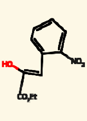 CCOC(=O)C(O)=Cc1ccccc1[N+](=O)[O-]